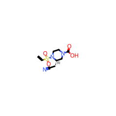 C=CS(=O)(=O)N1CCN(C(=O)O)C[C@@H]1CC#N